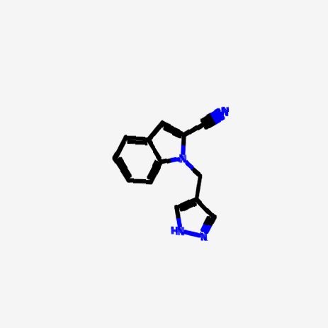 N#Cc1cc2ccccc2n1Cc1cn[nH]c1